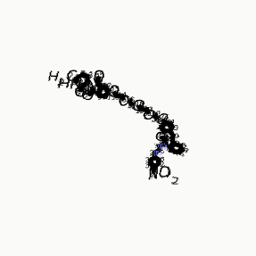 C=C1CCC(N2C(=O)c3ccc(OCCOCCOCCOCCOc4ccc(CN5C(=O)/C(=C/C=C/c6ccc([N+](=O)[O-])cc6)c6ccccc65)cc4)cc3C2=O)C(=O)N1